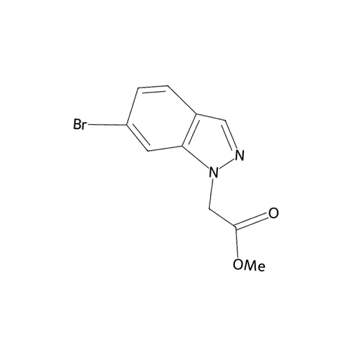 COC(=O)Cn1ncc2ccc(Br)cc21